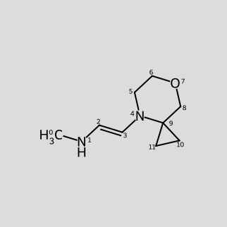 CN/C=C/N1CCOCC12CC2